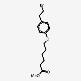 COC(=O)CCCCCOc1ccc(CCBr)cc1